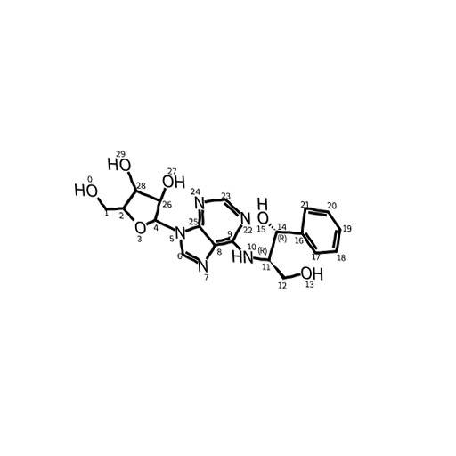 OCC1OC(n2cnc3c(N[C@H](CO)[C@H](O)c4ccccc4)ncnc32)C(O)C1O